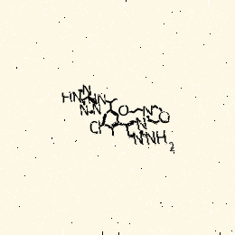 Cc1c(Cl)cc(C(C)Nc2ncnc3[nH]cnc23)c(OCCN2CCOCC2)c1-c1cnc(N)nc1